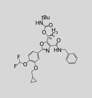 C[C@H](OC(=O)NC(C)(C)C)c1oc(-c2ccc(OC(F)F)c(OCC3CC3)c2)nc1C(=O)NCc1ccccc1